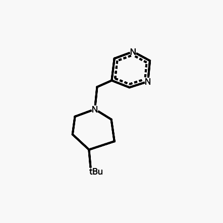 CC(C)(C)C1CCN(Cc2cncnc2)CC1